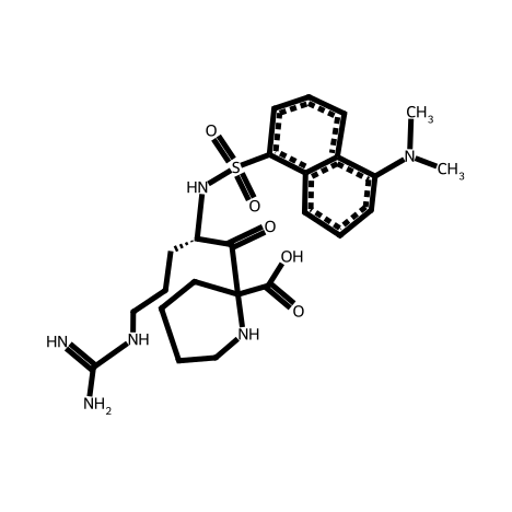 CN(C)c1cccc2c(S(=O)(=O)N[C@@H](CCCNC(=N)N)C(=O)C3(C(=O)O)CCCCN3)cccc12